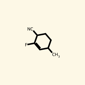 CC1C=C(F)C(C#N)CC1